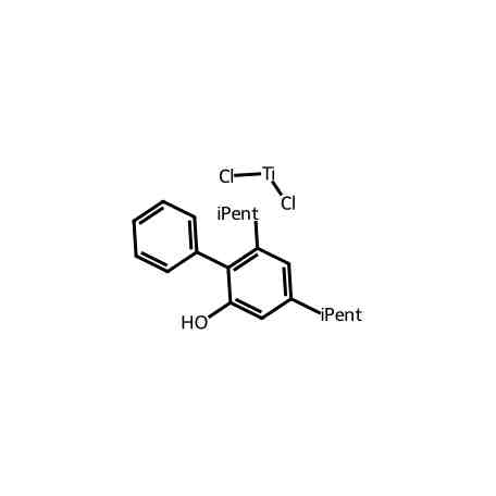 CCCC(C)c1cc(O)c(-c2ccccc2)c(C(C)CCC)c1.[Cl][Ti][Cl]